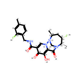 Cc1ccc(CNC(=O)c2cn3c(c(O)c2=O)C(=O)N2CN3[C@@H](C)C[C@H](F)[C@@H]2C)c(F)c1